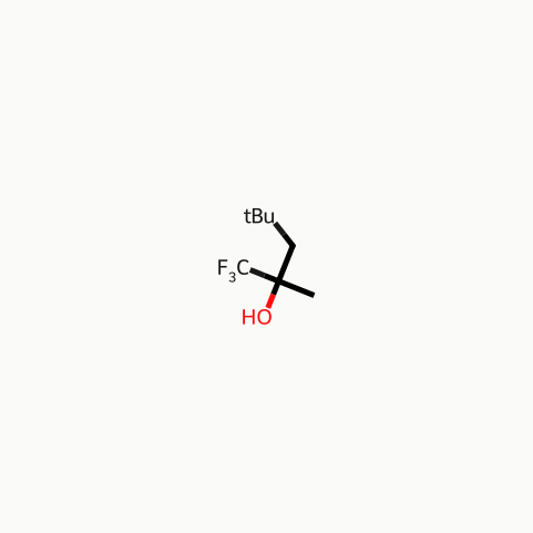 CC(C)(C)CC(C)(O)C(F)(F)F